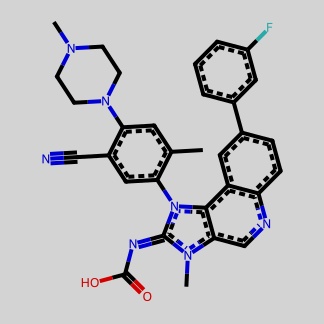 Cc1cc(N2CCN(C)CC2)c(C#N)cc1-n1/c(=N/C(=O)O)n(C)c2cnc3ccc(-c4cccc(F)c4)cc3c21